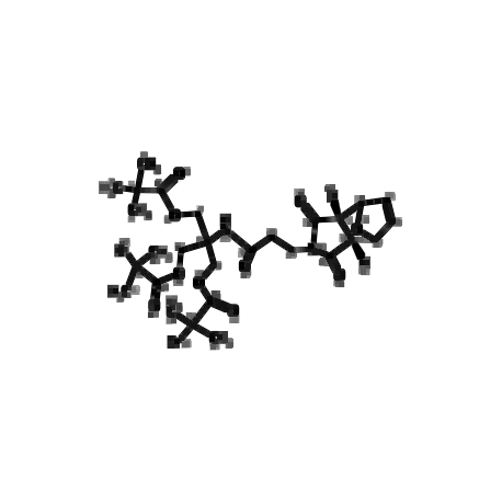 CC(C)(C)C(=O)OCC(COC(=O)C(C)(C)Br)(COC(=O)C(C)(C)Br)NC(=O)CCN1C(=O)[C@@H]2C3C=CC(O3)[C@@H]2C1=O